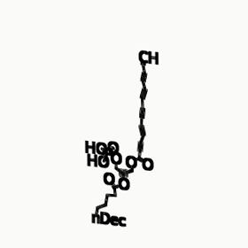 C#CC#CC#CC#CC#CC#CC(=O)OC[C@H](COP(=O)(O)O)OC(=O)CCCCCCCCCCCCCC